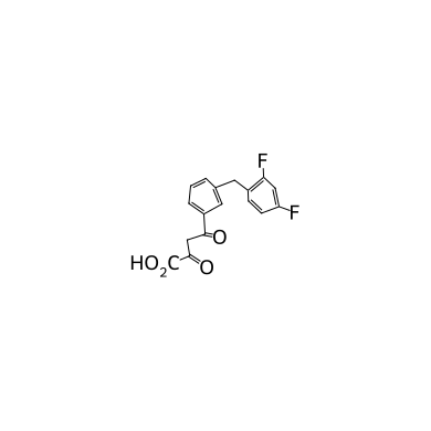 O=C(O)C(=O)CC(=O)c1cccc(Cc2ccc(F)cc2F)c1